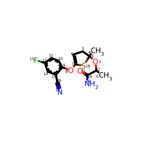 CC(OC1(C)CC=C(Oc2ccc(F)cc2C#N)S1)C(N)=O